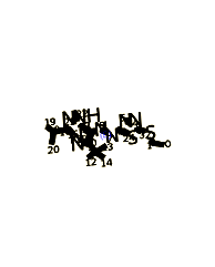 CCSc1nnc(/N=N/c2c(C(C)(C)C)nn3c(C(C)C)n[nH]c23)s1